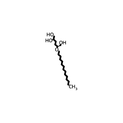 CCCCCCCCCCCCCCCO[C@H](CO)CC[C@@H](O)CO